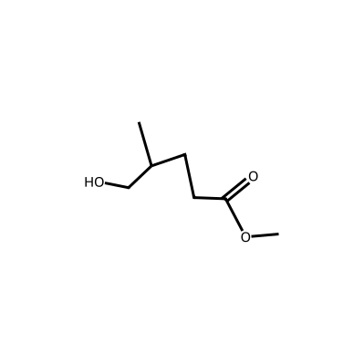 COC(=O)CCC(C)CO